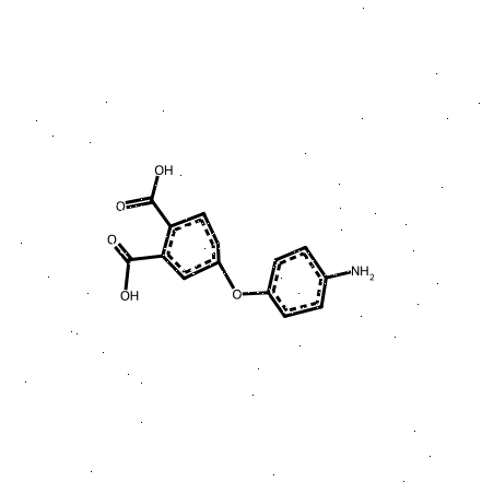 Nc1ccc(Oc2ccc(C(=O)O)c(C(=O)O)c2)cc1